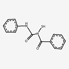 O=C(Nc1ccccc1)N(S)C(=O)c1ccccc1